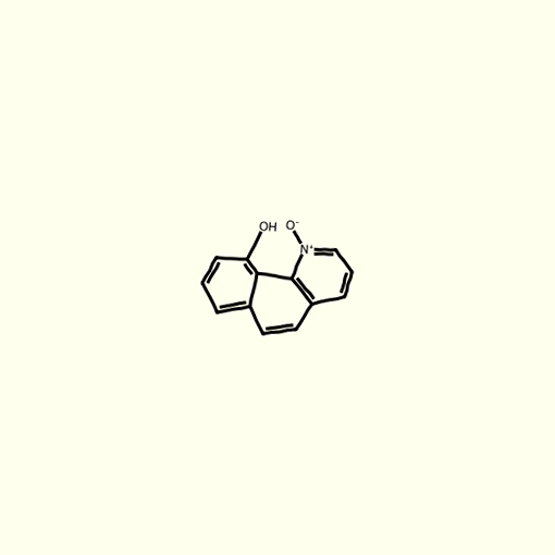 [O-][n+]1cccc2ccc3cccc(O)c3c21